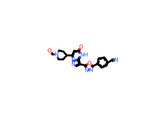 N#Cc1ccc(-c2nnc(-c3cnn4c(C5CCN(C=O)CC5)cc(=O)[nH]c34)o2)cc1